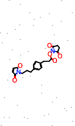 O=C(CCc1ccc(CCCN2C(=O)C=CC2=O)cc1)ON1C(=O)CCC1=O